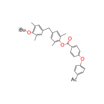 CCC(C)Oc1c(C)cc(Cc2cc(C)c(OC(=O)c3ccc(Oc4ccc(C(C)=O)cc4)cc3)c(C)c2)cc1C